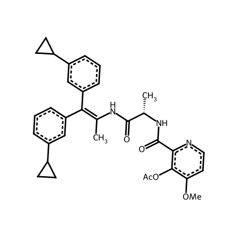 COc1ccnc(C(=O)N[C@@H](C)C(=O)NC(C)=C(c2cccc(C3CC3)c2)c2cccc(C3CC3)c2)c1OC(C)=O